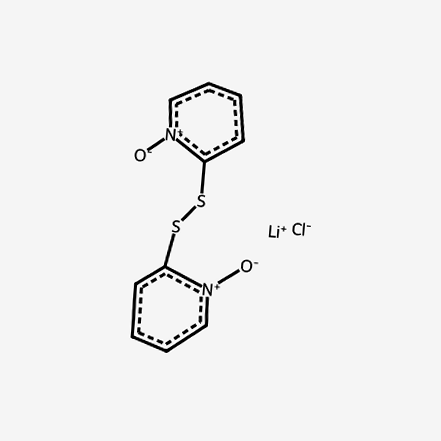 [Cl-].[Li+].[O-][n+]1ccccc1SSc1cccc[n+]1[O-]